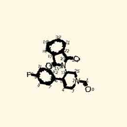 O=[C]N1CC=C(c2ccc(F)cc2)[C@H](N2C(=O)c3ccccc3C2=O)C1